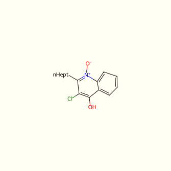 CCCCCCCc1c(Cl)c(O)c2ccccc2[n+]1[O-]